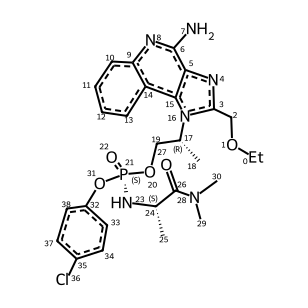 CCOCc1nc2c(N)nc3ccccc3c2n1[C@H](C)CO[P@@](=O)(N[C@@H](C)C(=O)N(C)C)Oc1ccc(Cl)cc1